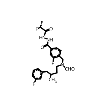 CC(CCN(C=O)Cc1ccc(C(=O)NNC(=O)C(F)F)cc1F)Cc1cccc(F)c1